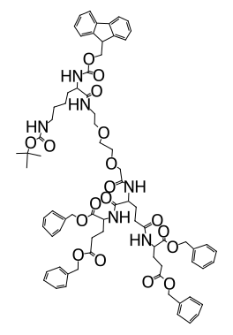 CC(C)(C)OC(=O)NCCCCC(NC(=O)OCC1c2ccccc2-c2ccccc21)C(=O)NCCOCCOCC(=O)NC(CCC(=O)NC(CCC(=O)OCc1ccccc1)C(=O)OCc1ccccc1)C(=O)NC(CCC(=O)OCc1ccccc1)C(=O)OCc1ccccc1